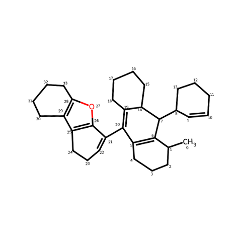 CC1CCCC2=C1C(C1C=CCCC1)C1CCCCC1=C2C1=CCCc2c1oc1c2CCCC1